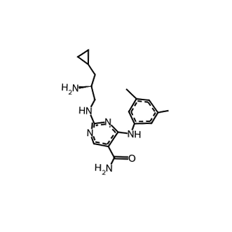 Cc1cc(C)cc(Nc2nc(NC[C@@H](N)CC3CC3)ncc2C(N)=O)c1